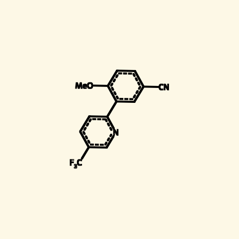 COc1ccc(C#N)cc1-c1ccc(C(F)(F)F)cn1